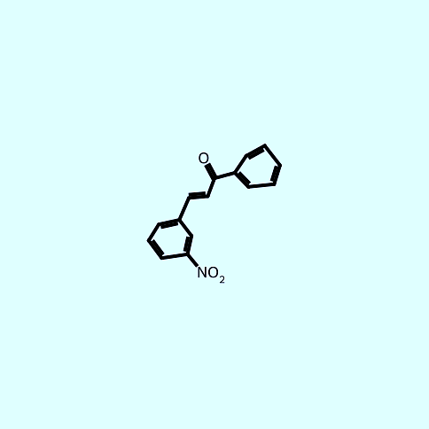 O=C(C=Cc1cccc([N+](=O)[O-])c1)c1ccccc1